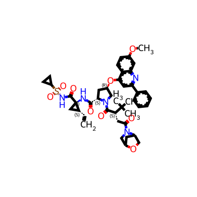 C=C[C@@H]1C[C@]1(NC(=O)[C@@H]1C[C@@H](Oc2cc(-c3ccccc3)nc3cc(OC)ccc23)CN1C(=O)[C@@H](CC(=O)N1CC2CC1CO2)C(C)(C)C)C(=O)NS(=O)(=O)C1CC1